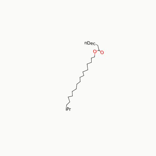 CCCCCCCCCCCC(=O)OCCCCCCCCCCCCCCCCC(C)C